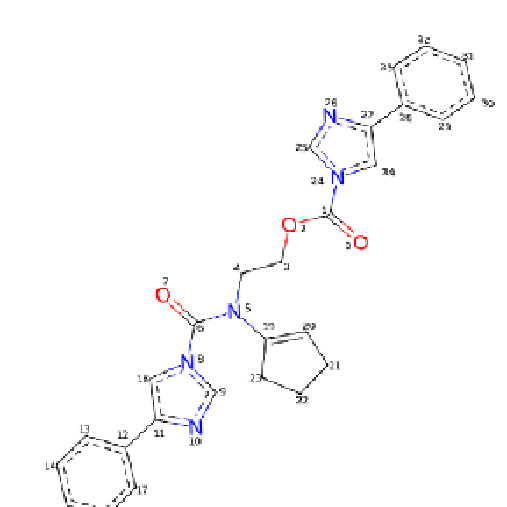 O=C(OCCN(C(=O)n1cnc(-c2ccccc2)c1)C1=CCCC1)n1cnc(-c2ccccc2)c1